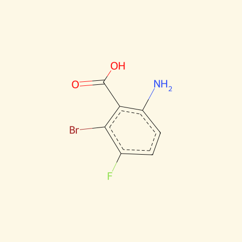 Nc1ccc(F)c(Br)c1C(=O)O